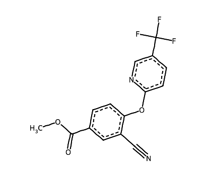 COC(=O)c1ccc(Oc2ccc(C(F)(F)F)cn2)c(C#N)c1